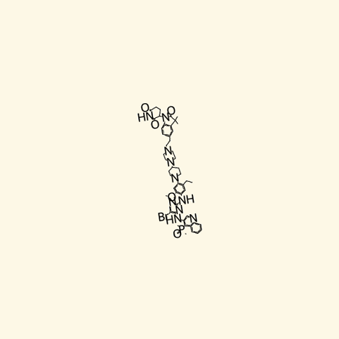 CCc1cc(Nc2ncc(Br)c(Nc3cnc4ccccc4c3P(C)(C)=O)n2)c(OC)cc1N1CCC(N2CCN(CCc3ccc4c(c3)C(C)(C)C(=O)N4C3CCC(=O)NC3=O)CC2)CC1